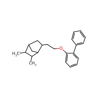 CC1C2CC(CCOc3ccccc3-c3ccccc3)C(C2)C1C